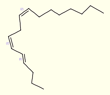 CCC/C=C/C=C\C/C=C\CCCCCCC